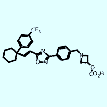 O=C(O)OC1CN(Cc2ccc(-c3noc(/C=C/C4(c5ccc(C(F)(F)F)cc5)CCCCC4)n3)cc2)C1